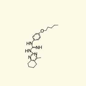 CCCCCOc1ccc(NC(=N)Nc2nc(C)c3c(n2)CCCC3)cc1